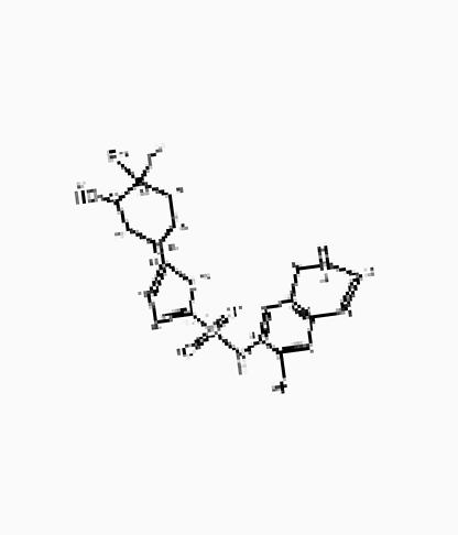 O=S(=O)(Nc1cc2c(cc1F)C=CNC2)c1ccc(N2CCC(F)(F)C(O)C2)s1